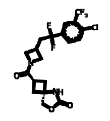 O=C1N[C@]2(CO1)C[C@H](C(=O)N1CC(CC(F)(F)c3ccc(Cl)c(C(F)(F)F)c3)C1)C2